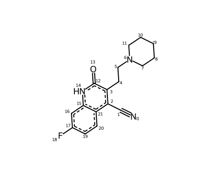 N#Cc1c(CCN2CC[CH]CC2)c(=O)[nH]c2cc(F)ccc12